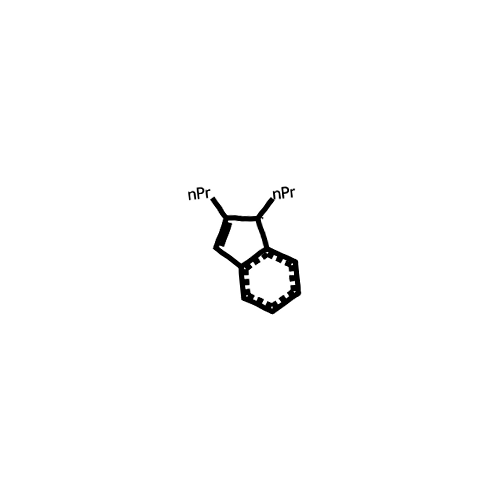 CCC[C]1C(CCC)=Cc2ccccc21